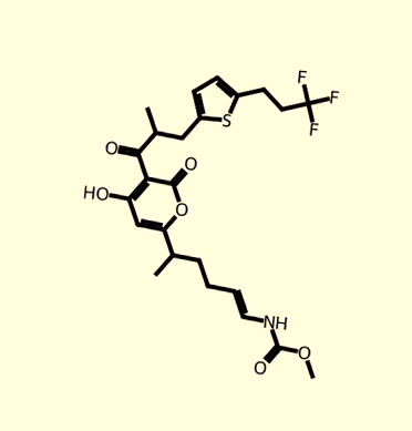 COC(=O)N/C=C/CCC(C)c1cc(O)c(C(=O)C(C)Cc2ccc(CCC(F)(F)F)s2)c(=O)o1